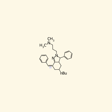 CCCCC1C/C(=C/c2ccccc2)C2=NN(CCCN(C)C)C(c3ccccc3)C2C1